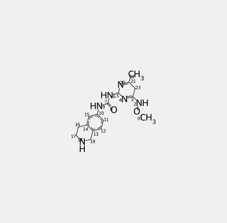 CONC1=NC(NC(=O)Nc2ccc3c(c2)CCNC3)N=C(C)C1